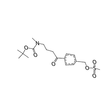 CN(CCCC(=O)c1ccc(COS(C)(=O)=O)cc1)C(=O)OC(C)(C)C